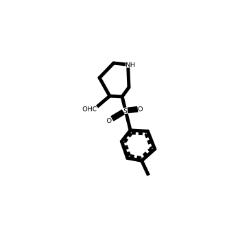 Cc1ccc(S(=O)(=O)C2CNCCC2C=O)cc1